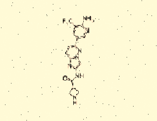 Nc1ncc(-c2ccc3nc(NC(=O)C4CNC4)cn3n2)cc1C(F)(F)F